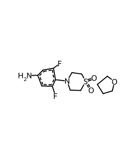 C1CCOC1.Nc1cc(F)c(N2CCS(=O)(=O)CC2)c(F)c1